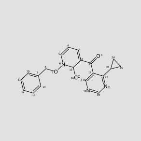 O=C(C1=CC=CN(OCc2ccccc2)C1C(F)(F)F)c1cncnc1C1CC1